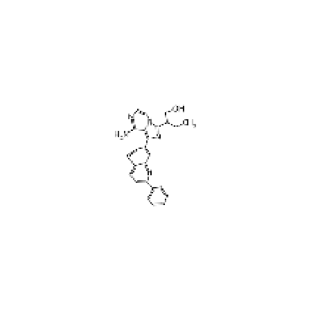 CCC(CO)c1nc(-c2ccc3ccc(-c4ccccc4)nc3c2)c2c(N)nccn12